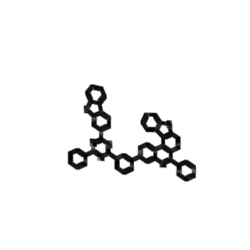 c1ccc(-c2nc(-c3cccc(-c4ccc5c(c4)nc(-c4ccccc4)c4ccc6sc7ccccc7c6c45)c3)nc(-c3ccc4c(c3)sc3ccccc34)n2)cc1